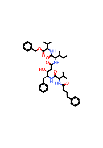 CC[C@H](C)[C@H](NC(=O)C[C@H](O)[C@H](Cc1ccccc1)NC(=O)C(NC(=O)CCCc1ccccc1)C(C)C)C(=O)NC(C(=O)OCc1ccccc1)C(C)C